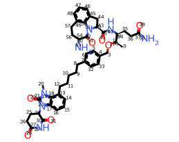 C[C@@H](OCc1ccc(CCCCCc2cccc3c2n(C)c(=O)n3C2CCC(=O)NC2=O)cc1)[C@H](CCC(N)=O)NC(=O)[C@@H]1Cc2cccc3c2N1C(=O)[C@@H](N)CC3